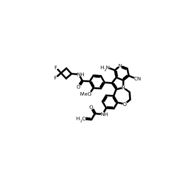 C=CC(=O)Nc1ccc2c(c1)OCCn1c-2c(-c2ccc(C(=O)NC3CC(F)(F)C3)c(OC)c2)c2c(N)ncc(C#N)c21